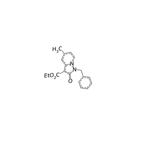 CCOC(=O)c1c(=O)n(Cc2ccccc2)n2ccc(C)cc12